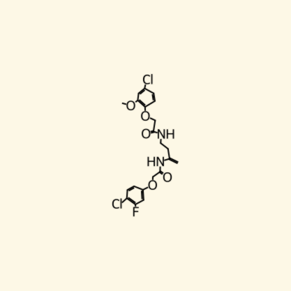 C=C(CCNC(=O)COc1ccc(Cl)cc1OC)NC(=O)COc1ccc(Cl)c(F)c1